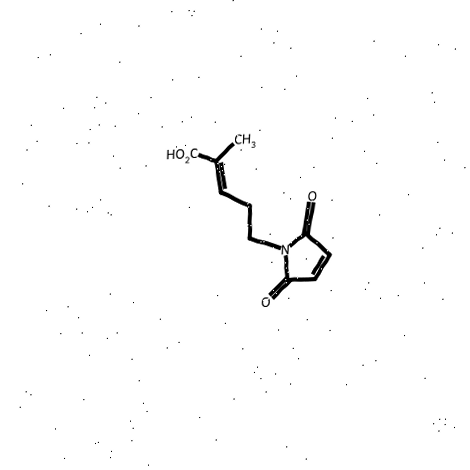 C/C(=C\CCN1C(=O)C=CC1=O)C(=O)O